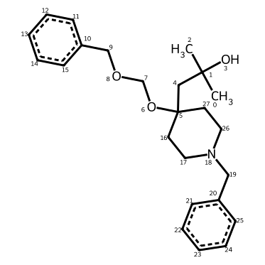 CC(C)(O)CC1(OCOCc2ccccc2)CCN(Cc2ccccc2)CC1